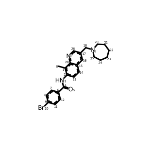 Cc1c(NC(=O)c2ccc(Br)cc2)ccc2cc(CN3CCCCCC3)cnc12